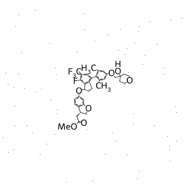 COC(=O)C[C@@H]1COc2cc(O[C@@H]3CCc4c(-c5c(C)cc(OCC6(O)CCOCC6)cc5C)cc(C(F)(F)F)c(F)c43)ccc21